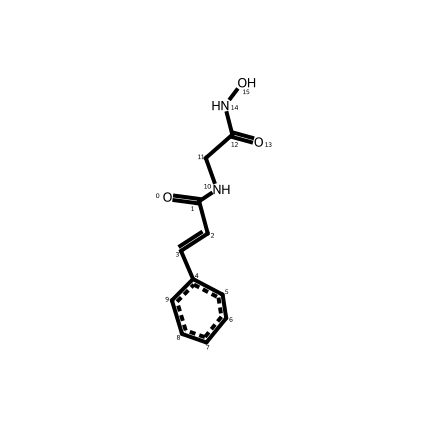 O=C(C=Cc1ccccc1)NCC(=O)NO